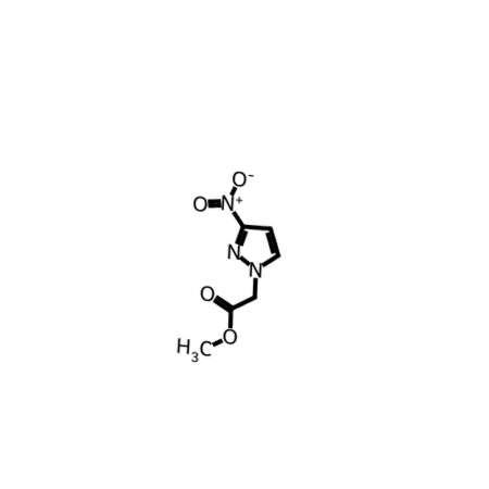 COC(=O)Cn1ccc([N+](=O)[O-])n1